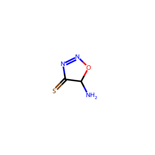 NC1ON=NC1=S